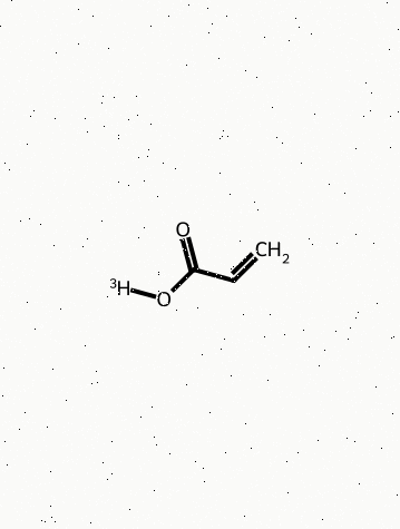 [3H]OC(=O)C=C